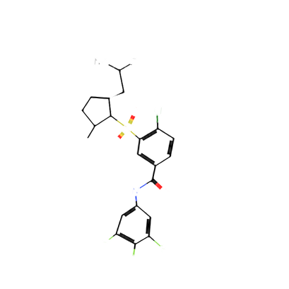 CCC(C#N)C[C@@H]1CCC(C)C1S(=O)(=O)c1cc(C(=O)Nc2cc(F)c(F)c(F)c2)ccc1Cl